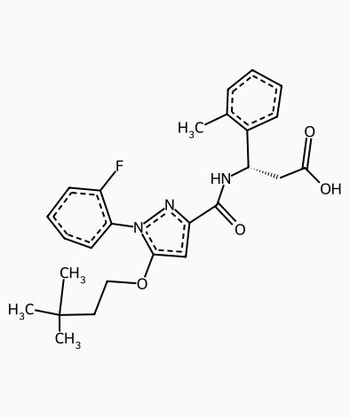 Cc1ccccc1[C@H](CC(=O)O)NC(=O)c1cc(OCCC(C)(C)C)n(-c2ccccc2F)n1